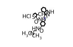 Cc1ccsc1C(=O)Nc1cc(C(=O)NCCN(C)C)ccc1/C=C/c1n[nH]c2ccccc12.Cl